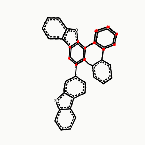 c1ccc(-c2ccccc2-c2ccccc2-c2ccccc2-c2cc(-c3ccc4c(c3)sc3ccccc34)cc3c2oc2ccccc23)cc1